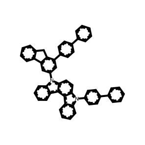 c1ccc(-c2ccc(-c3cc(-n4c5ccccc5c5c6c7ccccc7n(-c7ccc(-c8ccccc8)cc7)c6ccc54)cc4c3Cc3ccccc3-4)cc2)cc1